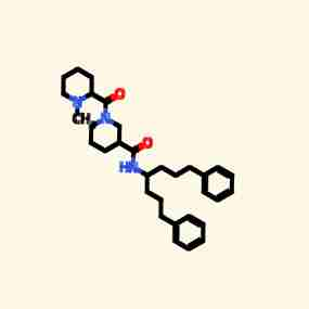 CN1CCCCC1C(=O)N1CCCC(C(=O)NC(CCCc2ccccc2)CCCc2ccccc2)C1